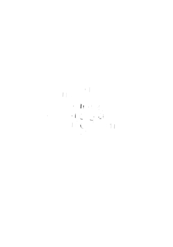 CC[C]1([Hf]([CH3])([CH3])([CH3])([CH3])([CH3])([CH3])([CH3])([CH3])[C]2(CC)C=CC=C2)C=CC=C1.[Cl-].[Cl-]